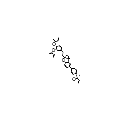 C=CC(=C)Oc1ccc(CCC(=O)Oc2ccc(-c3ccc(OC(=O)C=C)cc3)cc2F)cc1OC(=C)C=C